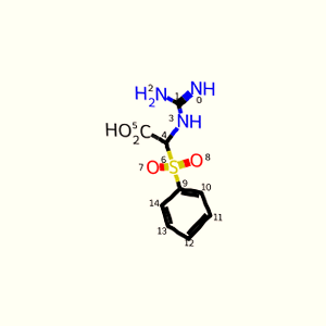 N=C(N)NC(C(=O)O)S(=O)(=O)c1ccccc1